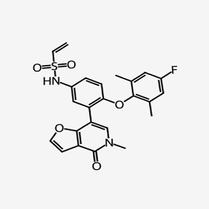 C=CS(=O)(=O)Nc1ccc(Oc2c(C)cc(F)cc2C)c(-c2cn(C)c(=O)c3ccoc23)c1